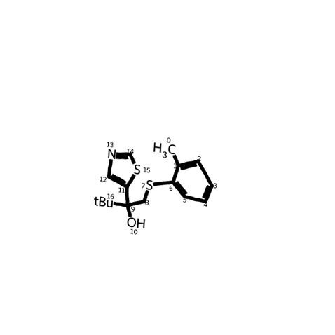 Cc1ccccc1SCC(O)(c1cncs1)C(C)(C)C